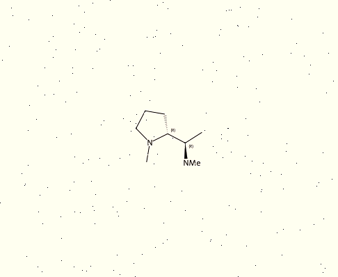 CN[C@H](C)[C@H]1CCCN1C